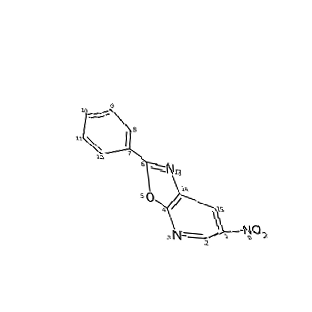 O=[N+]([O-])c1cnc2oc(-c3ccccc3)nc2c1